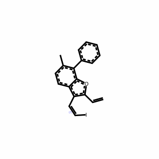 C=Cc1oc2c(-c3ccccc3)c(C)ccc2c1/C=C\I